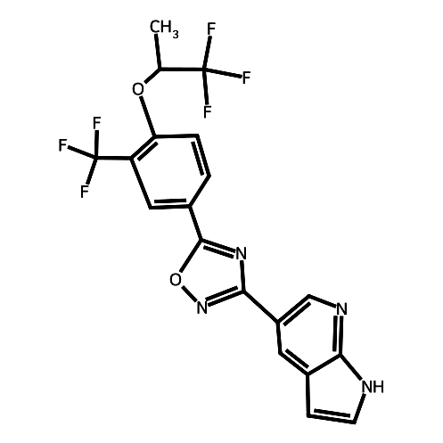 CC(Oc1ccc(-c2nc(-c3cnc4[nH]ccc4c3)no2)cc1C(F)(F)F)C(F)(F)F